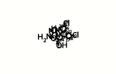 NC(=O)c1nccnc1N1CC(CO)CC(c2ccc(Cl)cc2)C1c1ccc(Cl)cc1